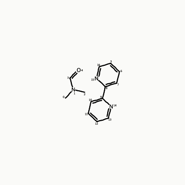 CN(C)C=O.c1ccc(-c2ccccn2)nc1